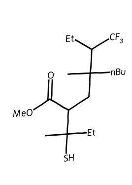 CCCCC(C)(CC(C(=O)OC)C(C)(S)CC)C(CC)C(F)(F)F